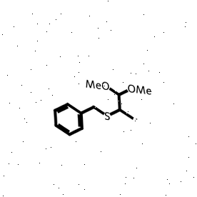 [CH2]C(SCc1ccccc1)C(OC)OC